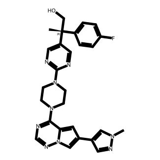 Cn1cc(-c2cc3c(N4CCN(c5ncc([C@](C)(CO)c6ccc(F)cc6)cn5)CC4)ncnn3c2)cn1